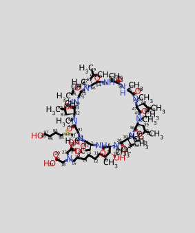 CC[C@@H]1NC(=O)[C@H]([C@H](O)[C@H](C)CCCCCCN(CC(=O)O)CC(=O)O)N(C)C(=O)[C@H](C(C)C)N(C)C(=O)[C@H](CC(C)C)N(C)C(=O)[C@H](CC(C)C)N(C)C(=O)[C@H](C)NC(=O)[C@@H](C)NC(=O)[C@@H](CC(C)C)N(C)C(=O)[C@@H](C(C)C)NC(=O)[C@H](CC(C)C)N(C)C(=O)[C@@H](CSCCCCO)N(C)C1=O